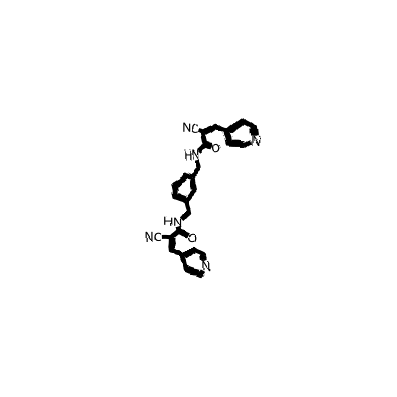 N#C/C(=C/c1ccncc1)C(=O)NCc1cccc(CNC(=O)/C(C#N)=C\c2ccncc2)c1